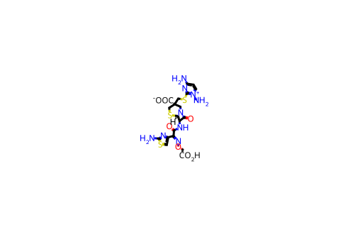 Nc1cc[n+](N)c(SCC2(C(=O)[O-])CS[C@@H]3C(NC(=O)C(=NOCC(=O)O)c4csc(N)n4)C(=O)N3C2)n1